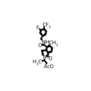 CC(=O)OCC(C)n1ccc2c(C(=O)NCc3ccc(C(F)(F)F)c(F)c3)c(C)ccc2c1=O